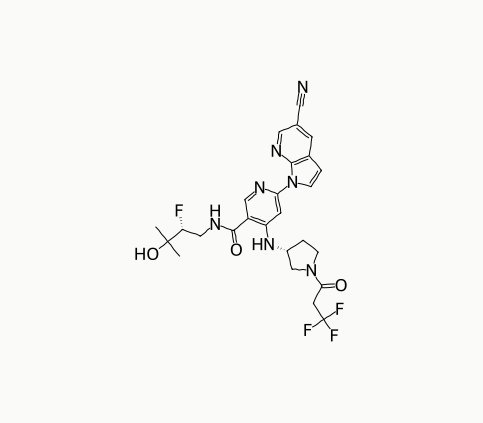 CC(C)(O)[C@H](F)CNC(=O)c1cnc(-n2ccc3cc(C#N)cnc32)cc1N[C@@H]1CCN(C(=O)CC(F)(F)F)C1